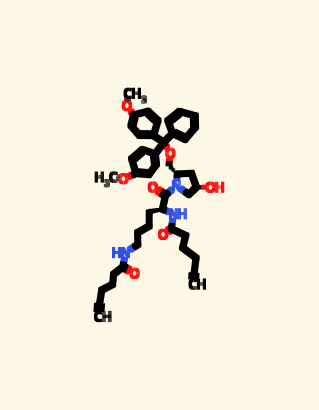 C#CCCCC(=O)NCCCC[C@H](NC(=O)CCCC#C)C(=O)N1C[C@H](O)C[C@H]1COC(c1ccccc1)(c1ccc(OC)cc1)c1ccc(OC)cc1